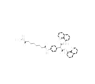 O=C(CCCCCCC(=O)Nc1ccc(C(C(=O)Nc2cccc3cccnc23)C(=O)Nc2cccc3cccnc23)cc1)NO